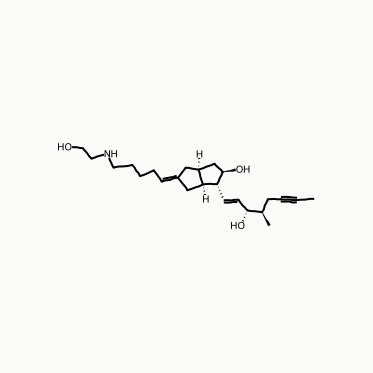 CC#CC[C@@H](C)[C@H](O)/C=C/[C@@H]1[C@H]2C/C(=C/CCCCNCCO)C[C@H]2C[C@H]1O